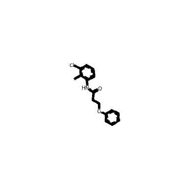 Cc1c(Cl)cccc1NC(=O)CCOc1ccccc1